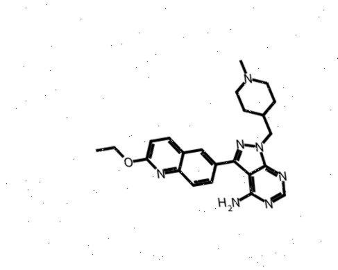 CCOc1ccc2cc(-c3nn(CC4CCN(C)CC4)c4ncnc(N)c34)ccc2n1